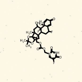 CC1(C)OC2CC3C4CC(F)C5=CC(=O)C=CC5(C)C4(F)C(O)CC3(C)C2(C(=O)COC(=O)OCn2cc(F)c(=O)[nH]c2=O)O1